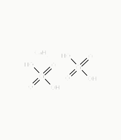 [CaH2].[O]=[Cr](=[O])([OH])[OH].[O]=[Cr](=[O])([OH])[OH]